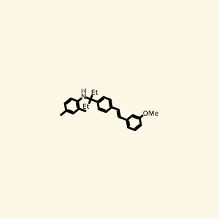 CCC(CC)(Nc1ccc(C)cc1C)c1ccc(C=Cc2cccc(OC)c2)cc1